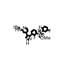 COCN(c1cccc(-c2n[nH]cc2-c2ccnc(NC(C)(C)C)c2)c1F)S(=O)(=O)c1cc(F)ccc1F